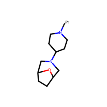 CC(C)N1CCC(N2CC3CCC(C2)O3)CC1